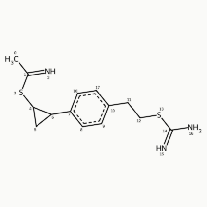 CC(=N)SC1CC1c1ccc(CCSC(=N)N)cc1